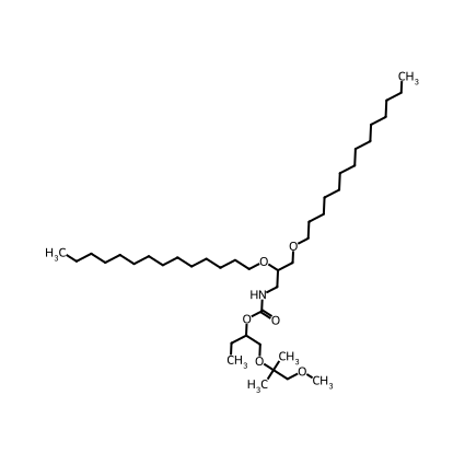 CCCCCCCCCCCCCCOCC(CNC(=O)OC(CC)COC(C)(C)COC)OCCCCCCCCCCCCCC